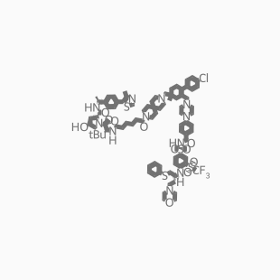 Cc1ncsc1-c1ccc([C@H](C)NC(=O)[C@@H]2C[C@@H](O)CN2C(=O)[C@@H](NC(=O)CCCCC(=O)N2CCC3(CCN(CC4(C)CCC(c5ccc(Cl)cc5)=C(CN5CCN(c6ccc(C(=O)NS(=O)(=O)c7ccc(N[C@H](CCN8CCOCC8)CSc8ccccc8)c(S(=O)(=O)C(F)(F)F)c7)cc6)CC5)C4)CC3)CC2)C(C)(C)C)cc1